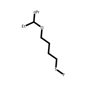 CCCC(CC)OCCCCSF